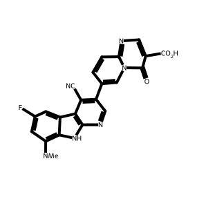 CNc1cc(F)cc2c1[nH]c1ncc(-c3ccc4ncc(C(=O)O)c(=O)n4c3)c(C#N)c12